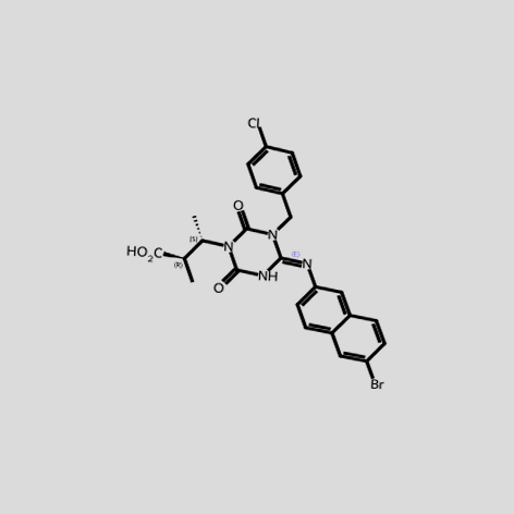 C[C@@H](C(=O)O)[C@H](C)n1c(=O)[nH]/c(=N\c2ccc3cc(Br)ccc3c2)n(Cc2ccc(Cl)cc2)c1=O